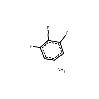 Fc1cccc(F)c1F.N